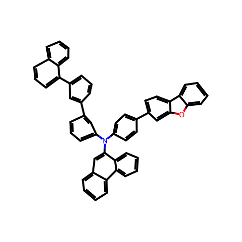 c1cc(-c2cccc(N(c3ccc(-c4ccc5c(c4)oc4ccccc45)cc3)c3cc4ccccc4c4ccccc34)c2)cc(-c2cccc3ccccc23)c1